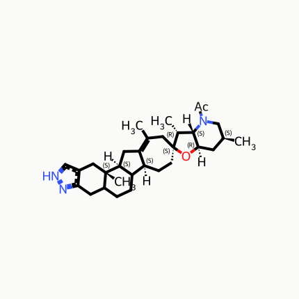 CC(=O)N1C[C@@H](C)C[C@H]2O[C@]3(CC[C@@H]4C(=C(C)C3)C[C@H]3C4CCC4Cc5n[nH]cc5C[C@@]43C)[C@H](C)[C@@H]21